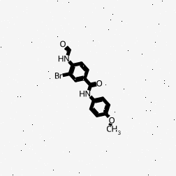 COc1ccc(NC(=O)c2ccc(NC=O)c(Br)c2)cc1